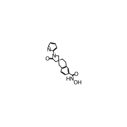 O=C(NO)c1ccc2c(c1)CC[C@]1(CC(=O)N(c3ccccn3)C1)C2